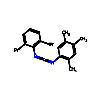 Cc1cc(C)c(N=C=Nc2c(C(C)C)cccc2C(C)C)cc1C